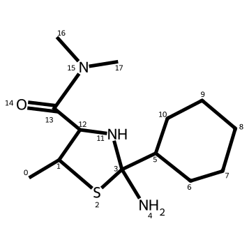 CC1SC(N)(C2CCCCC2)NC1C(=O)N(C)C